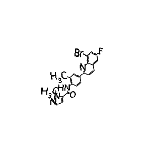 Cc1cc(-c2ccc3cc(F)cc(Br)c3n2)ccc1NC(=O)c1ccnn1C